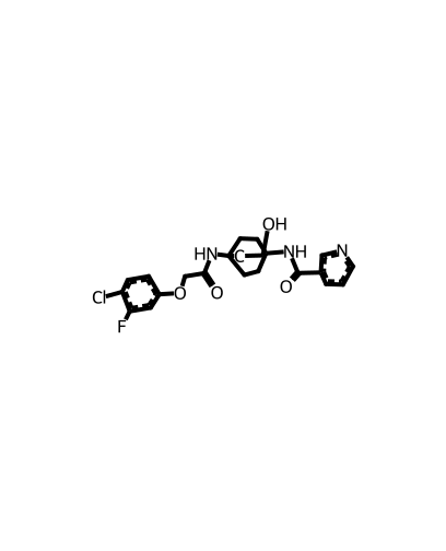 O=C(COc1ccc(Cl)c(F)c1)NC12CCC(NC(=O)c3cccnc3)(CC1)C(O)C2